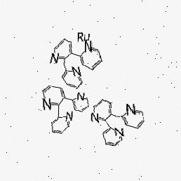 [Ru].c1ccc(-c2cccnc2-c2ccccn2)nc1.c1ccc(-c2cccnc2-c2ccccn2)nc1.c1ccc(-c2cccnc2-c2ccccn2)nc1